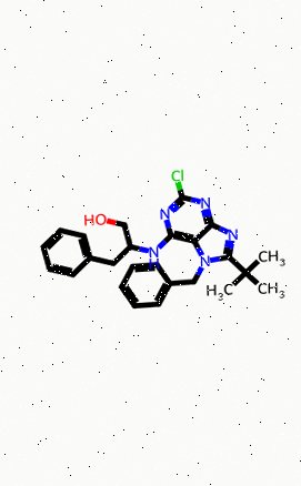 CC(C)(C)c1nc2nc(Cl)nc(NC(CO)Cc3ccccc3)c2n1Cc1ccccc1